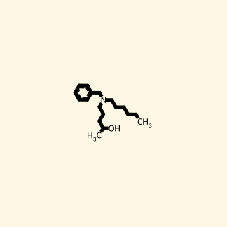 CCCCCCN(CCCC(C)O)Cc1ccccc1